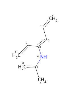 C=C/C=C(\C=C)NC(=C)C